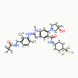 Cn1c(Nc2c(Cl)ccc(CNC(=O)C(C)(C)C)c2Cl)nc2cc(C(=O)NC3CCC(C(F)(F)F)CC3)c(N3CCC(C)(O)C3)cc21